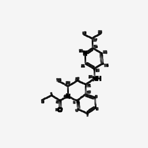 CCC(=O)N1c2ccccc2C(Nc2ccc(C(C)C)nc2)CC1C